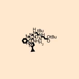 CN(c1nc(Nc2cc(C3CC3)n[nH]2)nc(NC(C(=O)NC(N)CCC(=O)OC(C)(C)C)C(C)(C)C)n1)c1ccccc1Cl